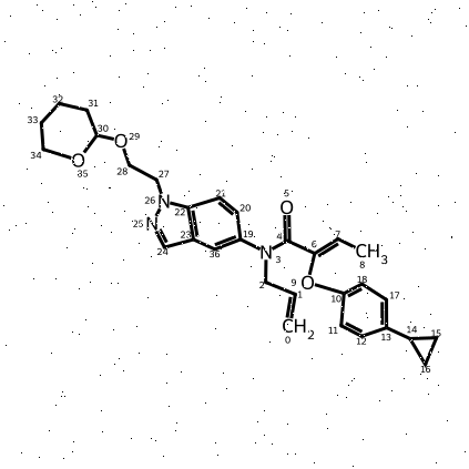 C=CCN(C(=O)C(=CC)Oc1ccc(C2CC2)cc1)c1ccc2c(cnn2CCOC2CCCCO2)c1